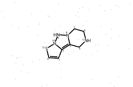 C1=CC2=C3CNCCN3NN2S1